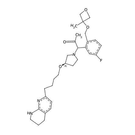 CC(=O)C(c1cc(F)ccc1COC1(C)COC1)N1CC[C@@H](OCCCCc2ccc3c(n2)NCCC3)C1